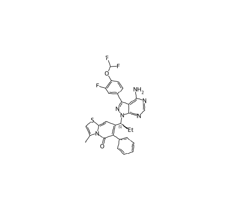 CC[C@@H](c1cc2scc(C)n2c(=O)c1-c1ccccc1)n1nc(-c2ccc(OC(F)F)c(F)c2)c2c(N)ncnc21